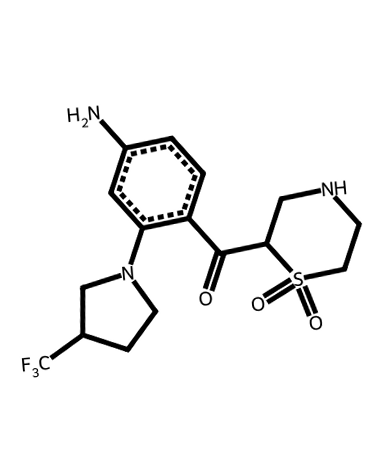 Nc1ccc(C(=O)C2CNCCS2(=O)=O)c(N2CCC(C(F)(F)F)C2)c1